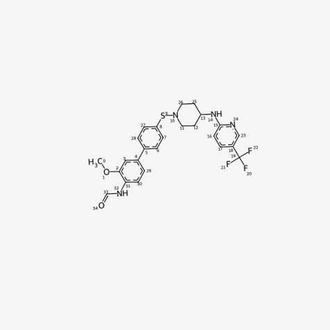 COc1cc(-c2ccc(SN3CCC(Nc4ccc(C(F)(F)F)cn4)CC3)cc2)ccc1NC=O